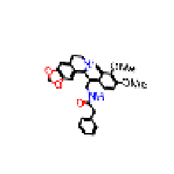 COc1ccc2c(CNC(=O)Cc3ccccc3)c3[n+](cc2c1OC)CCc1cc2c(cc1-3)OCO2